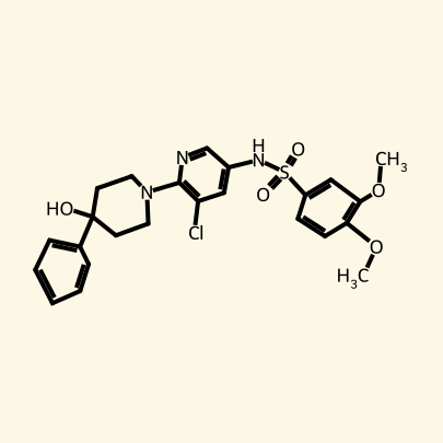 COc1ccc(S(=O)(=O)Nc2cnc(N3CCC(O)(c4ccccc4)CC3)c(Cl)c2)cc1OC